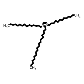 CCCCCCCCCCCCCCCCCCCC1N(CCCCCCCCCCCCC)C=CN1CCCCCCCCCCCCCCC